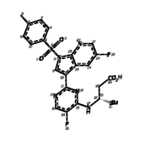 Cc1ccc(S(=O)(=O)n2cc(-c3ncc(F)c(N[C@H](CC(=O)O)C(C)(C)C)n3)c3cc(F)cnc32)cc1